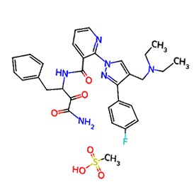 CCN(CC)Cc1cn(-c2ncccc2C(=O)NC(Cc2ccccc2)C(=O)C(N)=O)nc1-c1ccc(F)cc1.CS(=O)(=O)O